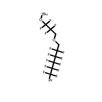 CC(C)C(F)(F)C(F)(F)C(F)(F)C(F)(F)C(F)(F)COCC(F)(F)C(F)(F)OC(C)(C)C